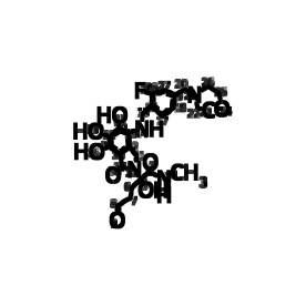 CNC(=O)C(O)(CCC=O)N1Cc2c(NCc3ccc(CN4CCOCC4)cc3F)c(O)c(O)c(O)c2C1=O